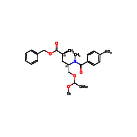 CCOC(OC)OC[C@H](C[C@H](C)C(=O)OCc1ccccc1)N(C)C(=O)c1ccc([N+](=O)[O-])cc1